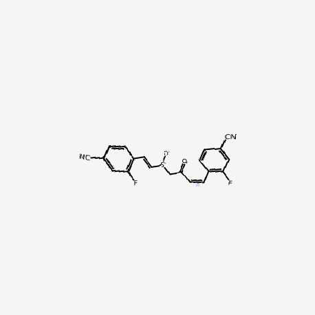 N#Cc1ccc(C=C[S+]([O-])CC(=O)/C=C\c2ccc(C#N)cc2F)c(F)c1